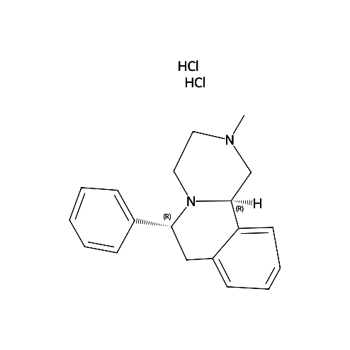 CN1CCN2[C@@H](c3ccccc3)Cc3ccccc3[C@@H]2C1.Cl.Cl